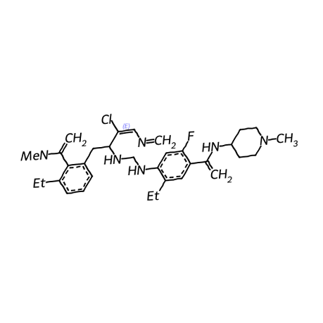 C=N/C=C(/Cl)C(Cc1cccc(CC)c1C(=C)NC)NCNc1cc(F)c(C(=C)NC2CCN(C)CC2)cc1CC